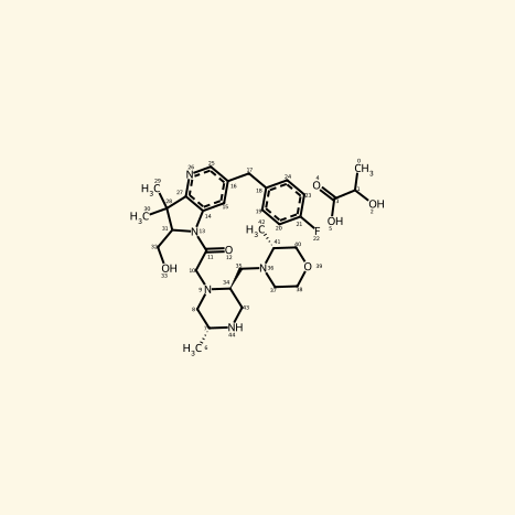 CC(O)C(=O)O.C[C@@H]1CN(CC(=O)N2c3cc(Cc4ccc(F)cc4)cnc3C(C)(C)C2CO)[C@@H](CN2CCOC[C@H]2C)CN1